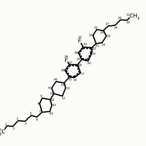 CCCCCCCC1CCC(C2CCC(c3ccc(-c4ccc(C5CCC(CCCCC)CC5)c(F)c4)c(F)c3)CC2)CC1